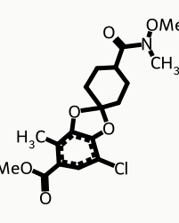 COC(=O)c1cc(Cl)c2c(c1C)OC1(CCC(C(=O)N(C)OC)CC1)O2